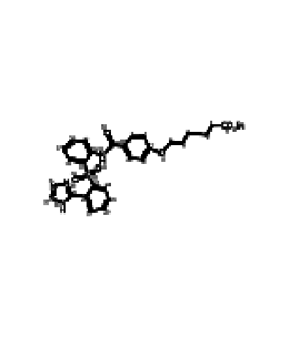 CCOC(=O)CCCCCOc1ccc(C(=O)Nc2ccccc2S(=O)(=O)c2ccccc2-c2nnn[nH]2)cc1